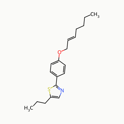 CCCCC=CCOc1ccc(-c2ncc(CCC)s2)cc1